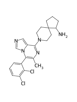 Cc1nc(N2CCC3(CCCC3N)CC2)c2cncn2c1-c1cccc(Cl)c1Cl